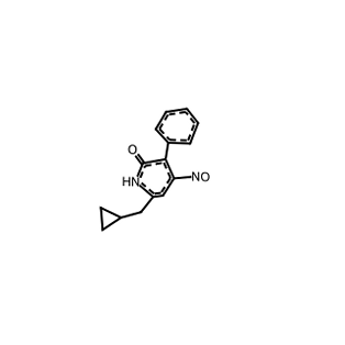 O=Nc1cc(CC2CC2)[nH]c(=O)c1-c1ccccc1